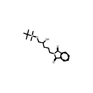 CC(C)(C)[Si](C)(C)OCC(O)CCCN1C(=O)c2ccccc2C1=O